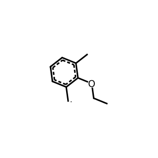 [CH2]c1cccc(C)c1OCC